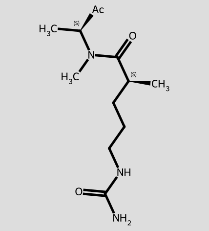 CC(=O)[C@H](C)N(C)C(=O)[C@@H](C)CCCNC(N)=O